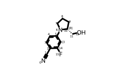 N#Cc1ccc(N2CCC[C@@H]2CO)cc1F